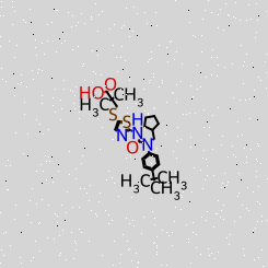 CC(C)(CSc1cnc(NC(=O)N(CC2CCCC2)c2ccc(C(C)(C)C)cc2)s1)C(=O)O